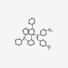 COc1ccc(/C=C(\c2ccc(OC)cc2)c2cc(-c3ccccc3)ccc2-c2ccccc2P(c2ccccc2)c2ccccc2)cc1